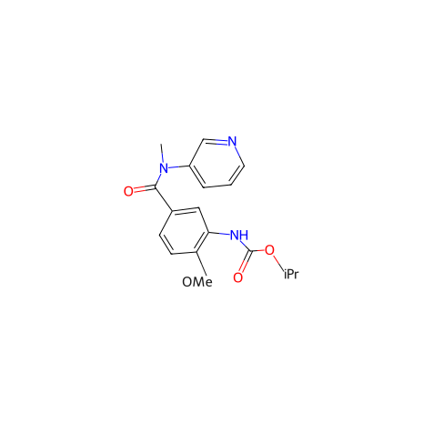 COc1ccc(C(=O)N(C)c2cccnc2)cc1NC(=O)OC(C)C